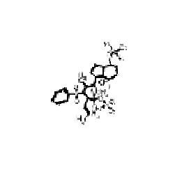 C/C=C/C(C(C(C)[C@H](C)[C@H]1CCC2C(O[Si](CC)(CC)CC)CCC[C@@]21C)S(=O)(=O)c1ccccc1)C(C)(C)O[Si](CC)(CC)CC